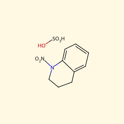 O=S(=O)(O)O.O=[N+]([O-])N1CCCc2ccccc21